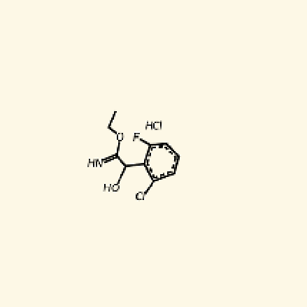 CCOC(=N)C(O)c1c(F)cccc1Cl.Cl